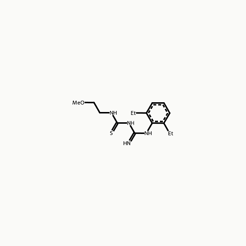 CCc1cccc(CC)c1NC(=N)NC(=S)NCCOC